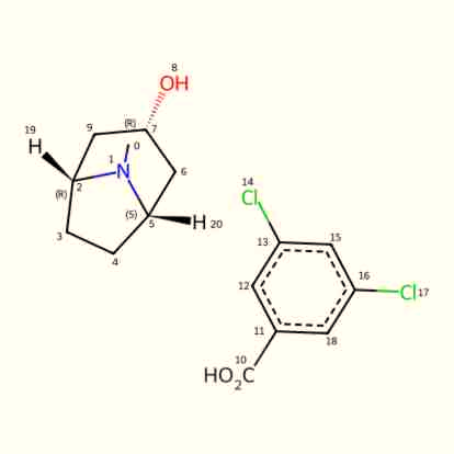 CN1[C@@H]2CC[C@H]1C[C@@H](O)C2.O=C(O)c1cc(Cl)cc(Cl)c1